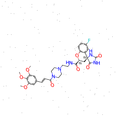 COc1cc(C=CC(=O)N2CCN(CCNC(=O)[C@@H]3C[C@]4(NC(=O)NC4=O)c4cc(F)ccc4O3)CC2)cc(OC)c1OC